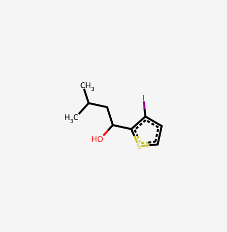 CC(C)CC(O)c1sccc1I